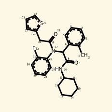 Cc1ccccc1C(C(=O)NC1CCCCC1)N(C(=O)Cc1cccs1)c1ccccc1F